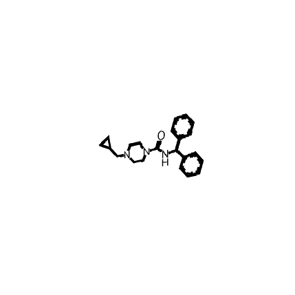 O=C(NC(c1ccccc1)c1ccccc1)N1CCN(CC2CC2)CC1